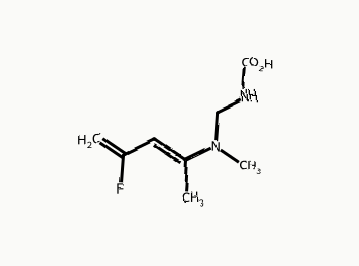 C=C(F)/C=C(\C)N(C)CNC(=O)O